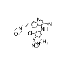 Cn1ccnc1Sc1ccc(Nc2c(C#N)cnc3cc(/C=C/CN4CCOCC4)ccc23)cc1Cl